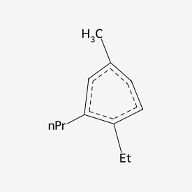 CCCc1cc(C)ccc1CC